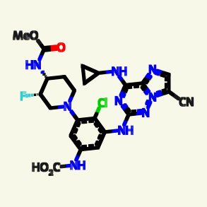 COC(=O)N[C@@H]1CCN(c2cc(NC(=O)O)cc(Nc3nc(NC4CC4)c4ncc(C#N)n4n3)c2Cl)C[C@@H]1F